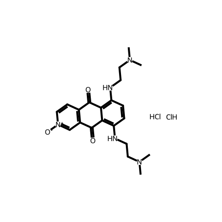 CN(C)CCNc1ccc(NCCN(C)C)c2c1C(=O)c1cc[n+]([O-])cc1C2=O.Cl.Cl